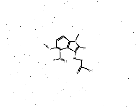 CSc1ccc2c(c(CCC(=O)O)c(C)n2C)c1[N+](=O)[O-]